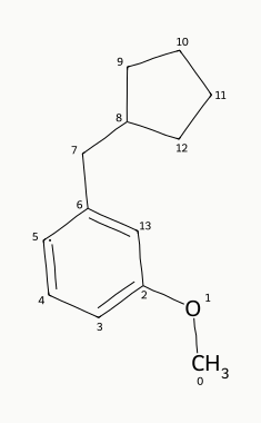 COc1cc[c]c(CC2CCCC2)c1